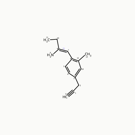 C#CCc1ccc(/C=C(\N)CC)c(C)c1